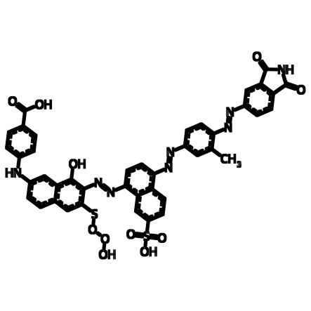 Cc1cc(N=Nc2ccc(N=Nc3c(SOOO)cc4ccc(Nc5ccc(C(=O)O)cc5)cc4c3O)c3cc(S(=O)(=O)O)ccc23)ccc1N=Nc1ccc2c(c1)C(=O)NC2=O